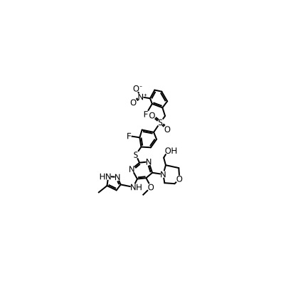 COc1c(Nc2cc(C)[nH]n2)nc(Sc2ccc(S(=O)(=O)Cc3cccc([N+](=O)[O-])c3F)cc2F)nc1N1CCOCC1CO